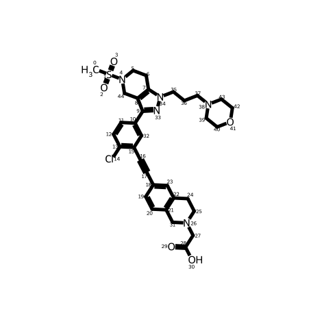 CS(=O)(=O)N1CCc2c(c(-c3ccc(Cl)c(C#Cc4ccc5c(c4)CCN(CC(=O)O)C5)c3)nn2CCCN2CCOCC2)C1